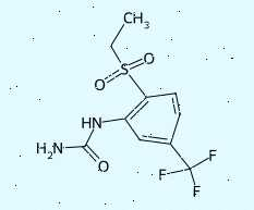 CCS(=O)(=O)c1ccc(C(F)(F)F)cc1NC(N)=O